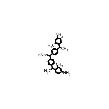 CCCCCCCCCC(c1ccc(C(C)c2ccc(N)cc2C)cc1)c1ccc(C(C)c2ccc(N)cc2C)cc1